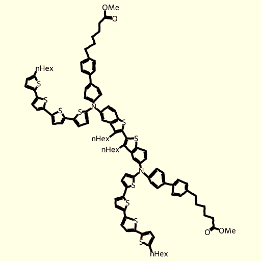 CCCCCCc1ccc(-c2ccc(-c3ccc(-c4ccc(N(c5ccc(-c6ccc(CCCCCC(=O)OC)cc6)cc5)c5ccc6sc(-c7sc8ccc(N(c9ccc(-c%10ccc(CCCCCC(=O)OC)cc%10)cc9)c9ccc(-c%10ccc(-c%11ccc(-c%12ccc(CCCCCC)s%12)s%11)s%10)s9)cc8c7CCCCCC)c(CCCCCC)c6c5)s4)s3)s2)s1